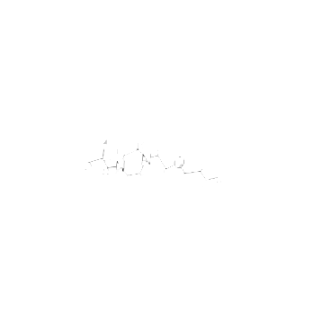 CCCCOCCN1CCN(CC(C)C)CC1